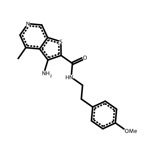 COc1ccc(CCNC(=O)c2sc3cncc(C)c3c2N)cc1